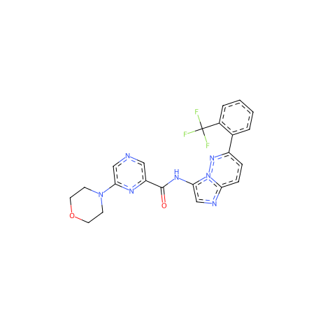 O=C(Nc1cnc2ccc(-c3ccccc3C(F)(F)F)nn12)c1cncc(N2CCOCC2)n1